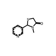 CN1C(=O)CSC1c1cccnc1